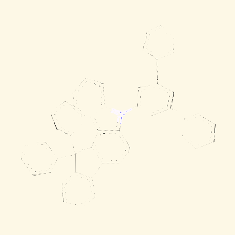 c1ccc(-c2cc(-c3ccccc3)cc(-n3c4ccccc4c4c5c(ccc43)-c3ccccc3C5(c3ccccc3)c3ccccc3)c2)cc1